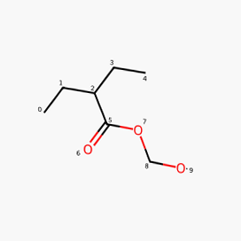 CCC(CC)C(=O)OC[O]